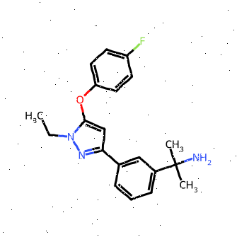 CCn1nc(-c2cccc(C(C)(C)N)c2)cc1Oc1ccc(F)cc1